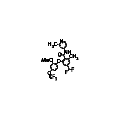 COc1cc(OC(F)(F)F)ccc1Oc1cc(C(F)F)cc(C)c1C(=O)Nc1ccnc(C)c1